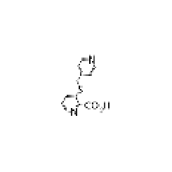 O=C(O)c1ncccc1SCc1ccncc1